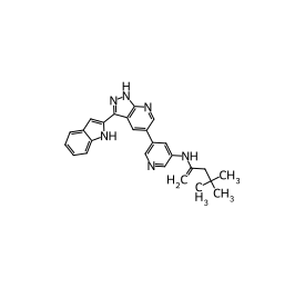 C=C(CC(C)(C)C)Nc1cncc(-c2cnc3[nH]nc(-c4cc5ccccc5[nH]4)c3c2)c1